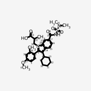 COc1ccc(-c2c(C3CCCCC3)c3ccc(C(=O)NS(=O)(=O)N(C)C)cc3n2CC(C)C(=O)O)c(C)c1